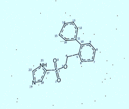 O=S(=O)(OCc1ccccc1-c1ccccc1)c1cnc[nH]1